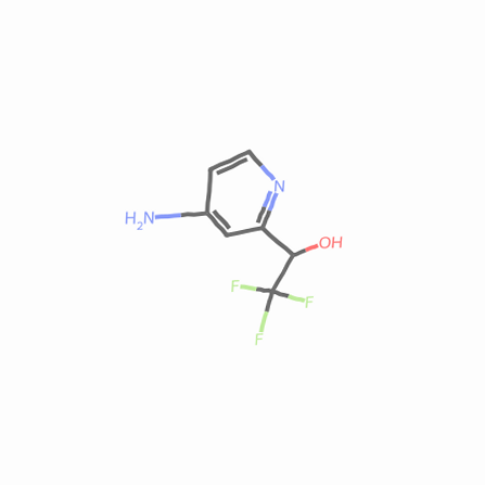 Nc1ccnc(C(O)C(F)(F)F)c1